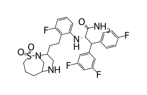 NC(=O)[C@@H](Nc1cccc(F)c1CCC1CNC2CCCS(=O)(=O)N1C2)C(c1ccc(F)cc1)c1cc(F)cc(F)c1